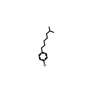 CC(C)CCCCCc1ccc(Br)cc1